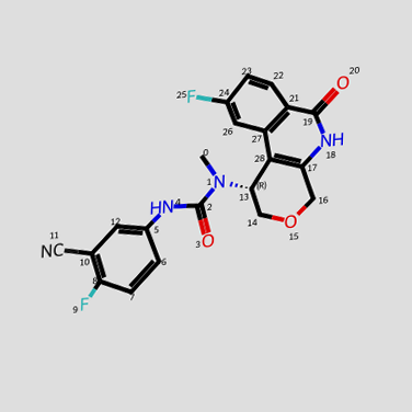 CN(C(=O)Nc1ccc(F)c(C#N)c1)[C@H]1COCc2[nH]c(=O)c3ccc(F)cc3c21